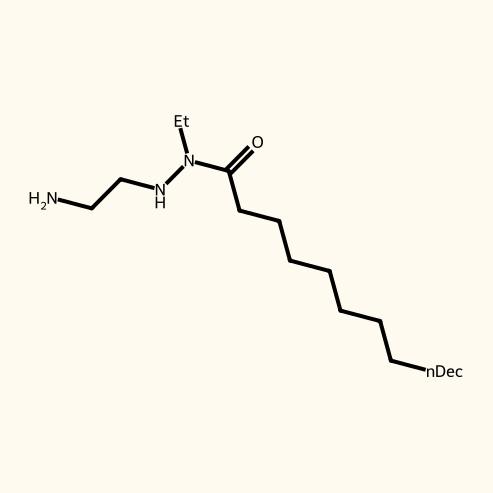 CCCCCCCCCCCCCCCCCC(=O)N(CC)NCCN